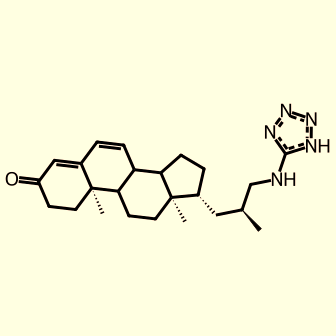 C[C@H](CNc1nnn[nH]1)C[C@H]1CCC2C3C=CC4=CC(=O)CC[C@]4(C)C3CC[C@@]21C